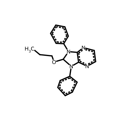 CCCOC1N(c2ccccc2)c2nccnc2N1c1ccccc1